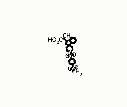 CC(C(=O)O)C1=CC2(CCN(S(=O)(=O)c3ccc(S(C)(=O)=O)cc3)CC2)c2ccccc21